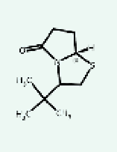 CC(C)(C)C1CS[C@H]2CCC(=O)N12